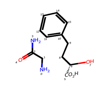 NCC(N)=O.O=C(O)[C@@H](O)CCc1ccccc1